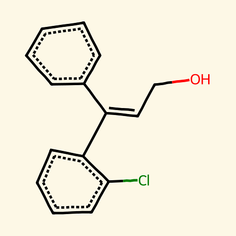 OC/C=C(\c1ccccc1)c1ccccc1Cl